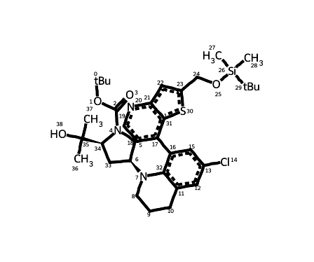 CC(C)(C)OC(=O)N1C[C@@H](N2CCCc3cc(Cl)cc(-c4ccnc5cc(CO[Si](C)(C)C(C)(C)C)sc45)c32)C[C@H]1C(C)(C)O